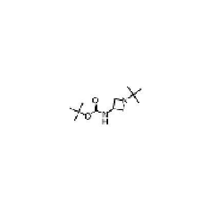 CC(C)(C)OC(=O)NC1CN(C(C)(C)C)C1